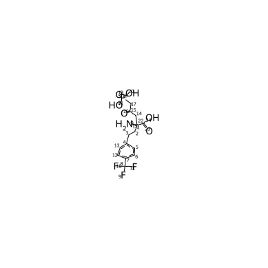 N[C@@](CCc1ccc(C(F)(F)F)cc1)(CC(=O)CP(=O)(O)O)C(=O)O